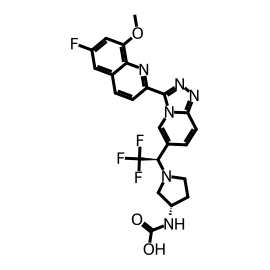 COc1cc(F)cc2ccc(-c3nnc4ccc([C@@H](N5CC[C@H](NC(=O)O)C5)C(F)(F)F)cn34)nc12